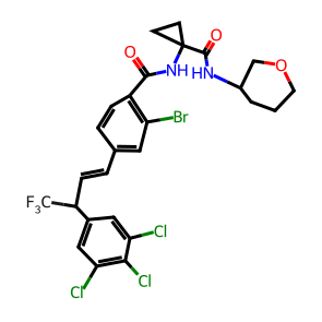 O=C(NC1(C(=O)NC2CCCOC2)CC1)c1ccc(/C=C/C(c2cc(Cl)c(Cl)c(Cl)c2)C(F)(F)F)cc1Br